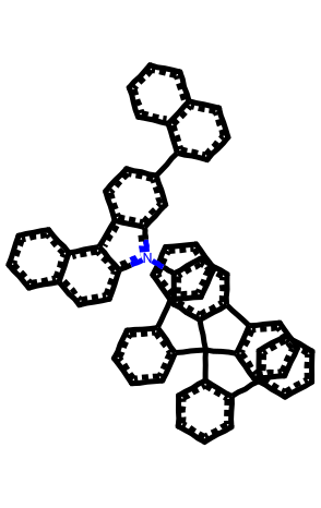 c1ccc(-c2ccccc2C2(c3ccccc3-c3ccccc3)c3ccccc3-c3ccc(-n4c5cc(-c6cccc7ccccc67)ccc5c5c6ccccc6ccc54)cc32)cc1